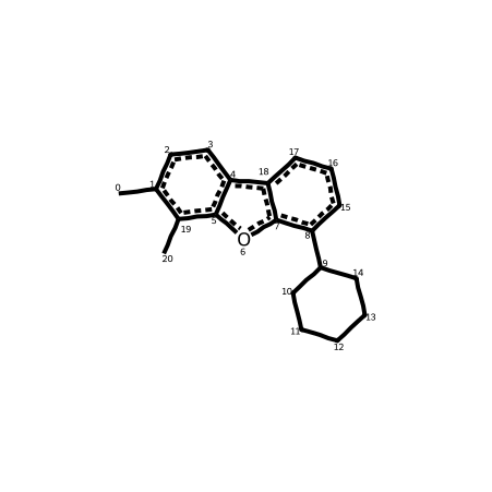 Cc1ccc2c(oc3c(C4CCCCC4)cccc32)c1C